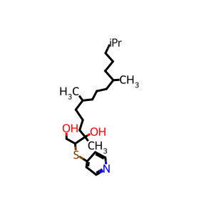 CC(C)CCCC(C)CCCC(C)CCCC(C)(O)C(CO)Sc1ccncc1